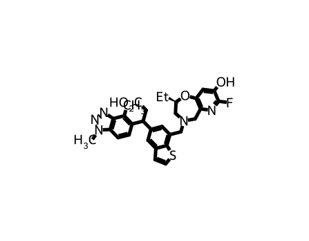 CC[C@@H]1CN(Cc2cc(C(CC(=O)O)c3ccc4c(nnn4C)c3C)cc3ccsc23)Cc2nc(F)c(O)cc2O1